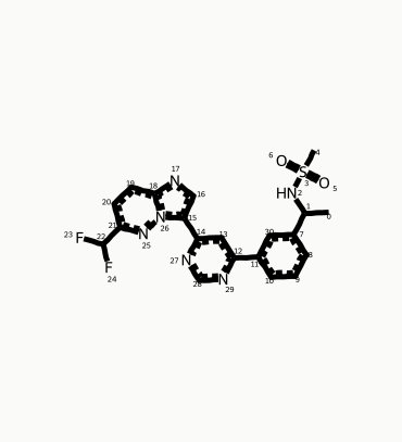 CC(NS(C)(=O)=O)c1cccc(-c2cc(-c3cnc4ccc(C(F)F)nn34)ncn2)c1